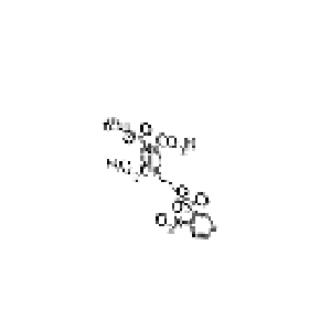 CC(C)(C)OC(=O)N[C@@H](C[C@H](CCCOS(=O)(=O)c1ccccc1[N+](=O)[O-])C(=O)O)C(=O)O